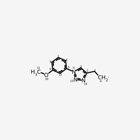 [CH2]Cc1cn(-c2cccc(OC)c2)nn1